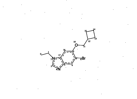 CCn1cnc2cc(Br)c(OCC3CCC3)cc21